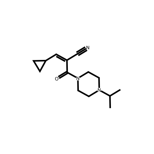 CC(C)N1CCN(C(=O)/C(C#N)=C\C2CC2)CC1